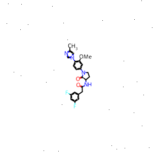 COc1cc(N2CCC(NC(=O)Cc3cc(F)cc(F)c3)C2=O)ccc1-n1cnc(C)c1